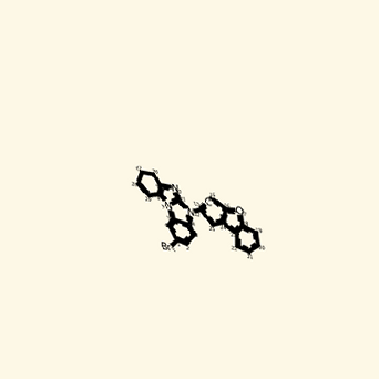 Brc1ccc2c(c1)n1c3c(nc1n2-c1ccc2oc4ccccc4c2c1)CCC=C3